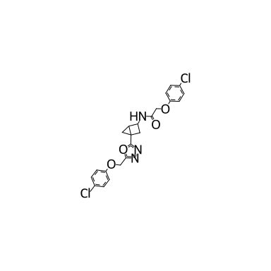 O=C(COc1ccc(Cl)cc1)NC1CC2(c3nnc(COc4ccc(Cl)cc4)o3)CC12